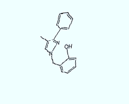 Cc1cn(Cc2ccccc2O)nc1-c1ccccc1